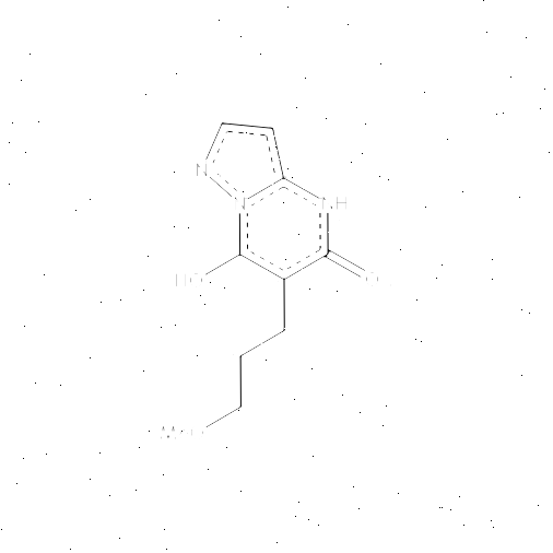 COCCCc1c(O)n2nccc2[nH]c1=O